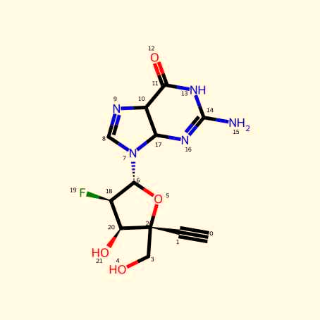 C#C[C@]1(CO)O[C@@H](N2C=NC3C(=O)NC(N)=NC32)[C@H](F)[C@@H]1O